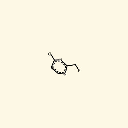 FCc1nccc(Cl)n1